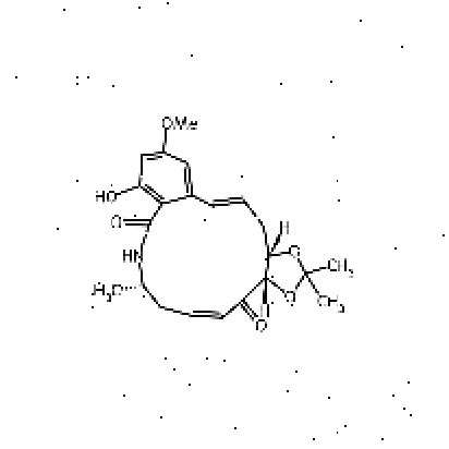 COc1cc(O)c2c(c1)/C=C/C[C@@H]1OC(C)(C)O[C@@H]1C(=O)/C=C\C[C@H](C)NC2=O